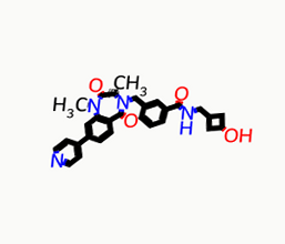 C[C@@H]1C(=O)N(C)c2cc(-c3ccncc3)ccc2C(=O)N1Cc1cccc(C(=O)NCC2CC(O)C2)c1